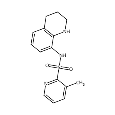 Cc1cccnc1S(=O)(=O)Nc1cccc2c1NCCC2